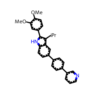 COc1ccc(-c2[nH]c3ccc(-c4ccc(-c5cccnc5)cc4)cc3c2C(C)C)cc1OC